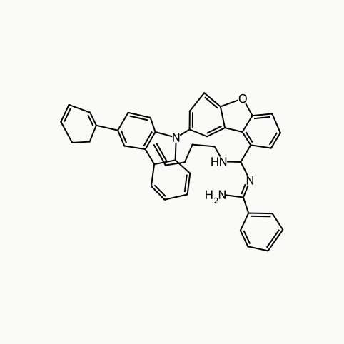 C=CCCCNC(/N=C(\N)c1ccccc1)c1cccc2oc3ccc(N4c5ccc(C6=CC=CCC6)cc5C5C=CC=CC54)cc3c12